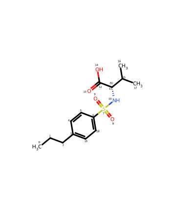 CCCc1ccc(S(=O)(=O)N[C@H](C(=O)O)C(C)C)cc1